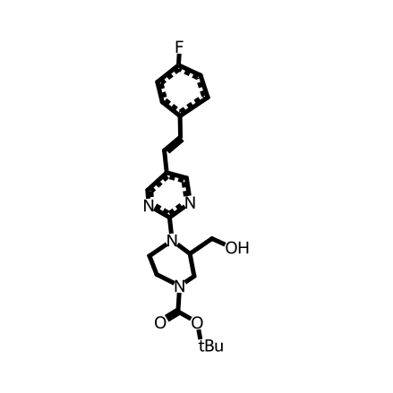 CC(C)(C)OC(=O)N1CCN(c2ncc(C=Cc3ccc(F)cc3)cn2)C(CO)C1